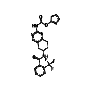 O=C(Nc1ncc2c(n1)CCC(NC(=O)c1ccccc1C(F)(F)F)C2)Oc1cccs1